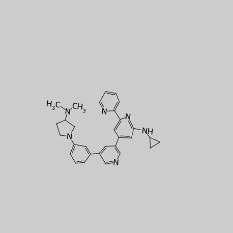 CN(C)C1CCN(c2cccc(-c3cncc(-c4cc(NC5CC5)nc(-c5ccccn5)c4)c3)c2)C1